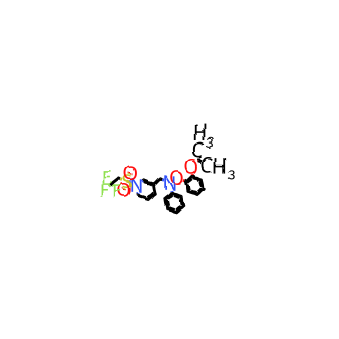 CC(C)Oc1ccccc1ON(CC1=CN(S(=O)(=O)CC(F)(F)F)CC=C1)c1ccccc1